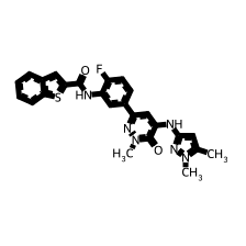 Cc1cc(Nc2cc(-c3ccc(F)c(NC(=O)c4cc5ccccc5s4)c3)nn(C)c2=O)nn1C